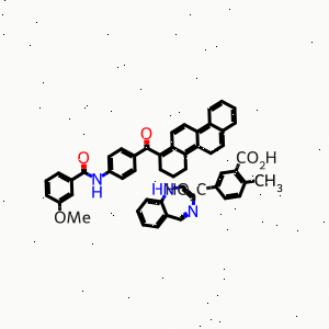 C1=CNc2ccccc2C=N1.COc1cccc(C(=O)Nc2ccc(C(=O)C3=c4ccc5c(c4CCC3)CC=c3ccccc3=5)cc2)c1.Cc1ccc(C(=O)O)cc1C(=O)O